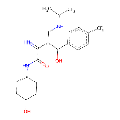 CC(NCC(C(=N)C(=O)NC1CCC(O)CC1)C(O)c1ccc(C(F)(F)F)cc1)C(F)(F)F